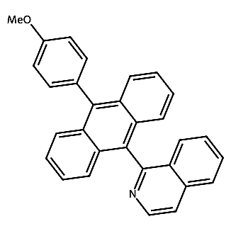 COc1ccc(-c2c3ccccc3c(-c3nccc4ccccc34)c3ccccc23)cc1